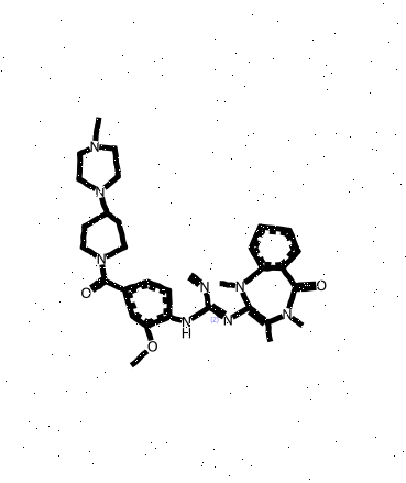 C=N/C(=N\C1=C(C)N(C)C(=O)c2ccccc2N1C)Nc1ccc(C(=O)N2CCC(N3CCN(C)CC3)CC2)cc1OC